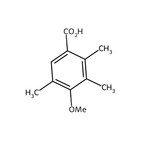 COc1c(C)cc(C(=O)O)c(C)c1C